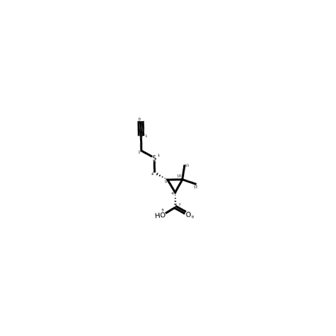 C#CCSC[C@H]1[C@@H](C(=O)O)C1(C)C